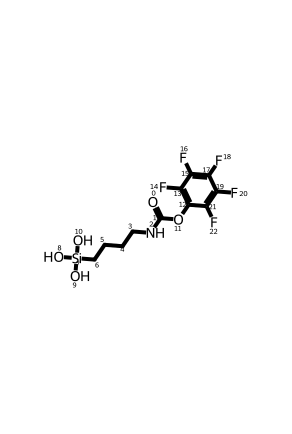 O=C(NCCCC[Si](O)(O)O)Oc1c(F)c(F)c(F)c(F)c1F